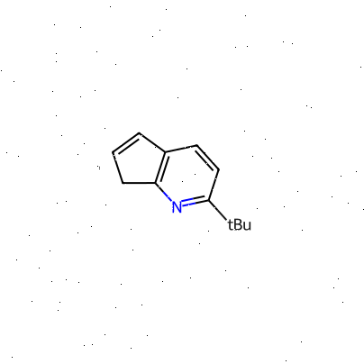 CC(C)(C)c1ccc2c(n1)CC=C2